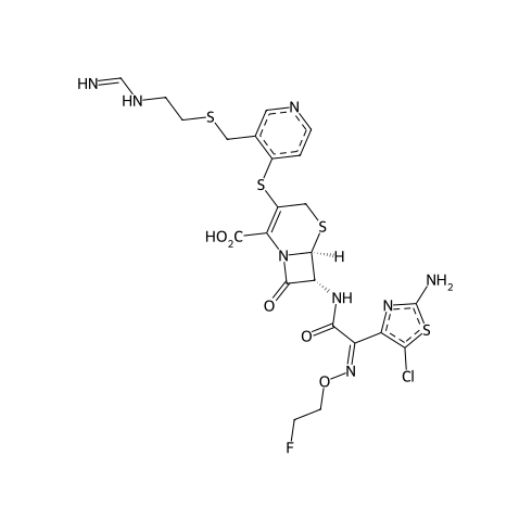 N=CNCCSCc1cnccc1SC1=C(C(=O)O)N2C(=O)[C@@H](NC(=O)/C(=N\OCCF)c3nc(N)sc3Cl)[C@@H]2SC1